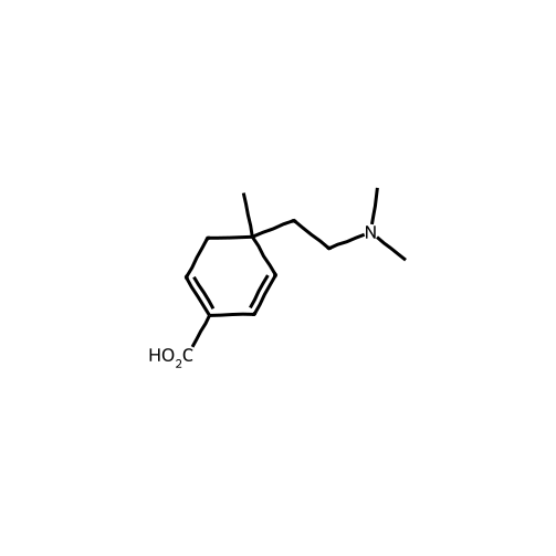 CN(C)CCC1(C)C=CC(C(=O)O)=CC1